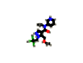 COCc1c(C(=O)N(C)c2cccnc2)cnn1CC(F)(F)F